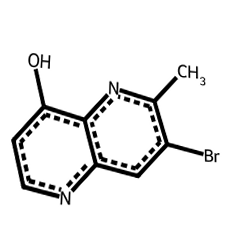 Cc1nc2c(O)ccnc2cc1Br